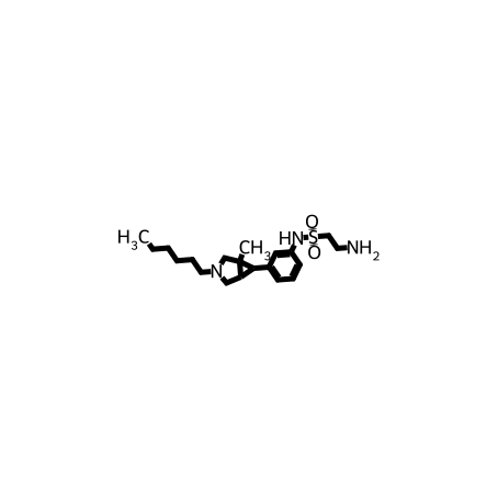 CCCCCCN1CC2C(c3cccc(NS(=O)(=O)CCN)c3)C2(C)C1